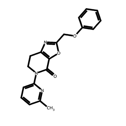 Cc1cccc(N2CCc3nc(COc4ccccc4)oc3C2=O)n1